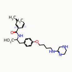 C=C/C=C(\C=C/C)C(=O)NC(Cc1ccc(OCCCCNC2=NCCNC2)cc1)C(=O)O